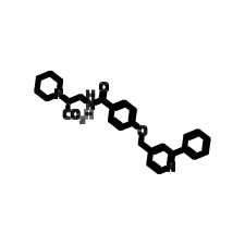 O=C(NC[C@@H](C(=O)O)N1CCCCC1)c1ccc(OCc2ccnc(-c3ccccc3)c2)cc1